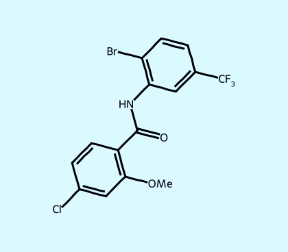 COc1cc(Cl)ccc1C(=O)Nc1cc(C(F)(F)F)ccc1Br